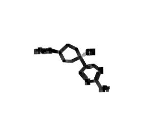 CCCCC[C@H]1CC[C@@](C#N)(c2cnc(CCC)nc2)CC1